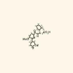 COc1ccc(C(=O)N[C@@H](CC(=O)O)c2ccccc2C)nc1-c1ccc(F)c(F)c1